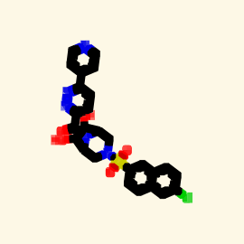 O=C(c1ccc(-c2ccncc2)nn1)N1C2CN(S(=O)(=O)c3ccc4cc(Cl)ccc4c3)CC1C(O)C2O